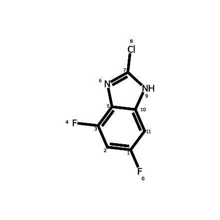 Fc1cc(F)c2nc(Cl)[nH]c2c1